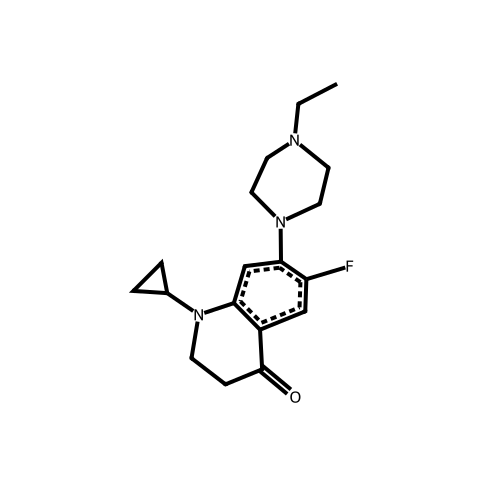 CCN1CCN(c2cc3c(cc2F)C(=O)CCN3C2CC2)CC1